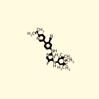 CN(C)c1ccc(-c2ccc(Nc3ncc(F)c(NC4CC(C)(C)N(C)C(C)(C)C4)n3)cc2C#N)cn1